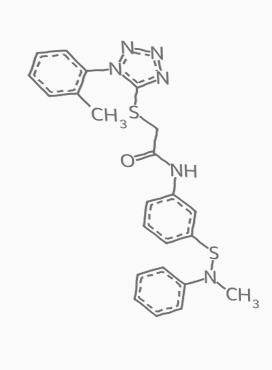 Cc1ccccc1-n1nnnc1SCC(=O)Nc1cccc(SN(C)c2ccccc2)c1